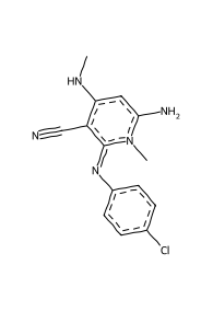 CNc1cc(N)n(C)c(=Nc2ccc(Cl)cc2)c1C#N